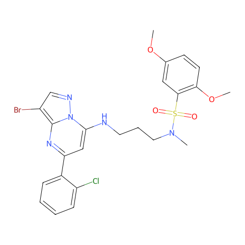 COc1ccc(OC)c(S(=O)(=O)N(C)CCCNc2cc(-c3ccccc3Cl)nc3c(Br)cnn23)c1